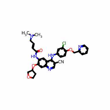 CN(C)CC=CC(=O)Nc1cc2c(Nc3ccc(OCc4ccccn4)c(Cl)c3)c(C#N)cnc2cc1OC1CCOC1